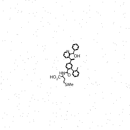 C=C(c1ccc(C(=O)NC(CCSC)C(=O)O)c(-c2ccccc2C)c1)c1cccnc1C(O)c1ccccc1